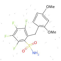 COc1ccc(Cc2c(F)c(F)c(F)c(F)c2S(N)(=O)=O)c(OC)c1